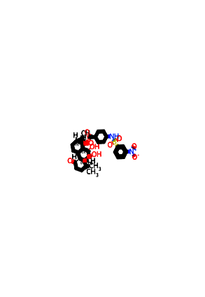 C=C1C(=O)[C@]23[C@H](OC(=O)C4CCC(NS(=O)(=O)c5cccc([N+](=O)[O-])c5)CC4)[C@H]1CC[C@H]2[C@@]12CO[C@@]3(O)[C@@H](O)[C@@H]1C(C)(C)CCC2=O